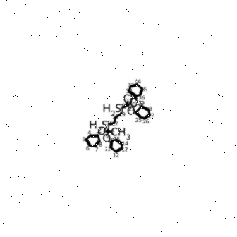 CC(Oc1ccccc1)(Oc1ccccc1)[SiH2]CCC[SiH2]C(C)(Oc1ccccc1)Oc1ccccc1